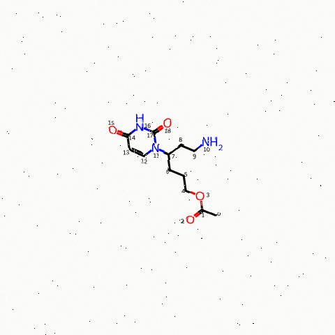 CC(=O)OCCCC(CCN)n1ccc(=O)[nH]c1=O